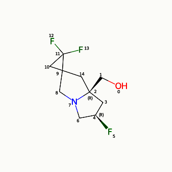 OC[C@@]12C[C@@H](F)CN1CC1(CC1(F)F)C2